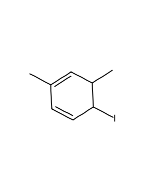 CC1=CC(C)C(I)C=C1